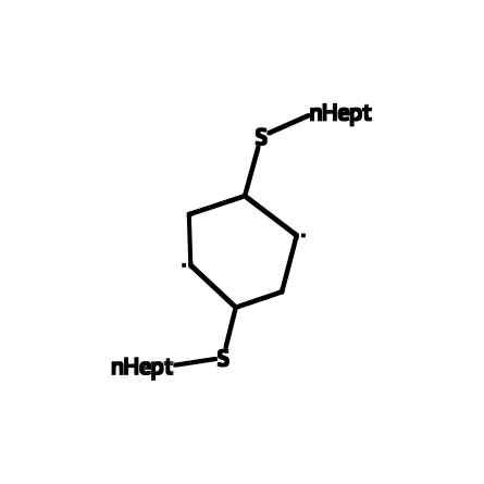 CCCCCCCSC1[CH]CC(SCCCCCCC)[CH]C1